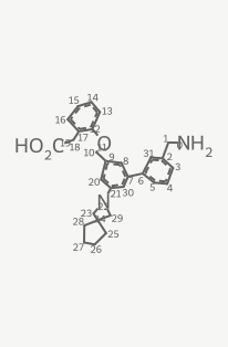 NCc1cccc(-c2cc(COc3ccccc3CC(=O)O)cc(N3CC4(CCCC4)C3)c2)c1